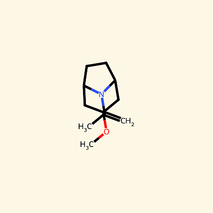 C=C(C)N1C2CCC1CC(OC)C2